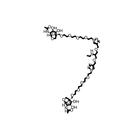 CCNC(COCc1cn(CCOCCOCCOCCOC[C@@]23CO[C@H](O2)[C@H](NC(C)=O)[C@@H](O)[C@H]3O)nn1)COCc1cn(CCOCCOCCOCCOC[C@@]23CO[C@@H](O2)[C@H](NC(C)=O)[C@@H](O)[C@H]3O)nn1